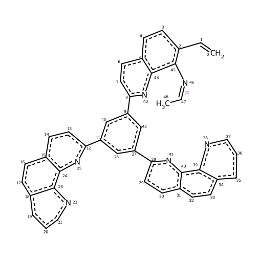 C=Cc1ccc2ccc(-c3cc(-c4ccc5ccc6cccnc6c5n4)cc(-c4ccc5ccc6cccnc6c5n4)c3)nc2c1/N=C\C